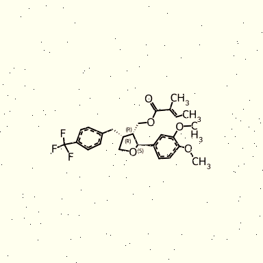 CC=C(C)C(=O)OC[C@H]1[C@@H](Cc2ccc(C(F)(F)F)cc2)CO[C@@H]1c1ccc(OC)c(OC)c1